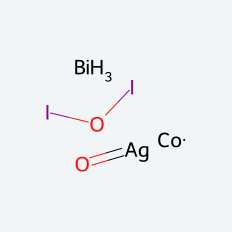 IOI.[BiH3].[Co].[O]=[Ag]